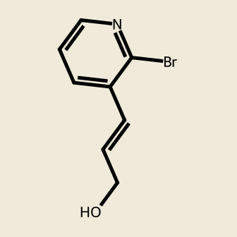 OCC=Cc1cccnc1Br